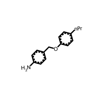 CCCc1ccc(OCc2ccc(N)cc2)cc1